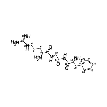 N=C(N)NCCC[C@H](N)C(=O)NCC(=O)NC(=O)[C@@H](N)Cc1ccccc1